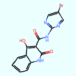 O=C(Nc1ncc(Br)cn1)c1c(O)c2ccccc2[nH]c1=O